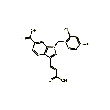 O=C(O)C=Cc1nn(Cc2ccc(F)cc2Cl)c2cc(C(=O)O)ccc12